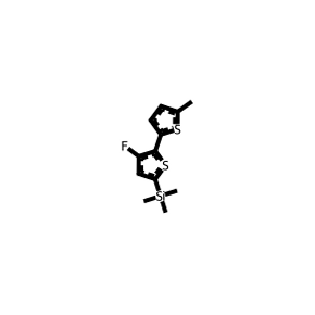 Cc1ccc(-c2sc([Si](C)(C)C)cc2F)s1